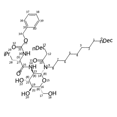 CCCCCCCCCCCCCCCCCCN(C(=O)CCCCCCCCCCC)[C@@H]1O[C@H](CO)[C@@H](O)[C@H](O)[C@H]1NC(=O)[C@H](CC(C)C)NC(=O)OCc1ccccc1